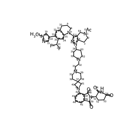 CC(=O)N1CCc2c(c(N3CCCc4cc(-c5cnn(C)c5)c(C(F)F)cc43)nn2C2CCN(CCN3CCC4(CC3)CN(c3cccc5c3C(=O)N(C3CCC(=O)NC3=O)C5=O)C4)CC2)C1